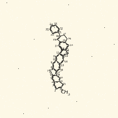 Cc1ccc2cc3sc4cc5cc6c(cc5cc4c3cc2c1)sc1cc2c(cc16)C=C(c1ccccc1)CC2